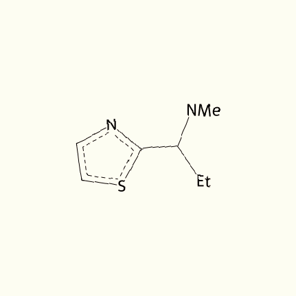 CCC(NC)c1nccs1